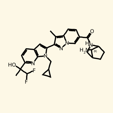 Cc1c(-c2cc3ccc(C(C)(O)C(F)F)nc3n2CC2CC2)nn2cc(C(=O)N3CC4CCC3[C@@H]4N)ccc12